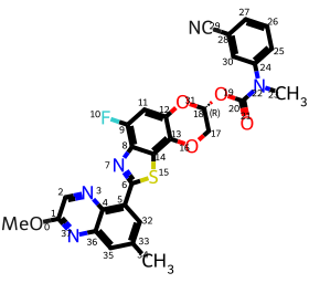 COc1cnc2c(-c3nc4c(F)cc5c(c4s3)OC[C@@H](OC(=O)N(C)c3cccc(C#N)c3)O5)cc(C)cc2n1